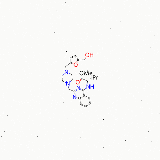 COC(=O)[C@@H](Nc1nc(CN2CCN(Cc3ccc(CO)o3)CC2)nc2ccccc12)C(C)C